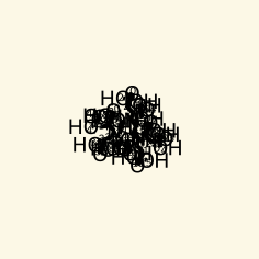 O=P(O)(O)CC(N(CCN(C(CP(=O)(O)O)P(=O)(O)O)C(CP(=O)(O)O)P(=O)(O)O)CCN(C(CP(=O)(O)O)P(=O)(O)O)C(CP(=O)(O)O)P(=O)(O)O)P(=O)(O)O